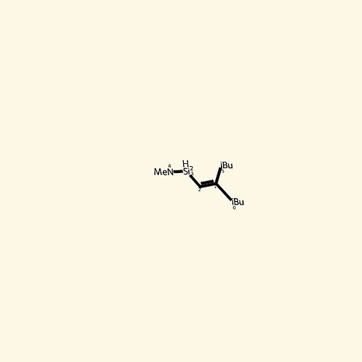 CCC(C)C(=C[SiH2]NC)C(C)CC